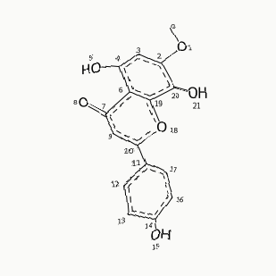 COc1cc(O)c2c(=O)cc(-c3ccc(O)cc3)oc2c1O